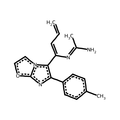 C=C/C=C(\N=C(/C)N)c1c(-c2ccc(C)cc2)nc2occn12